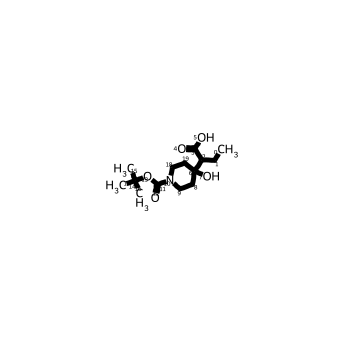 CCC(C(=O)O)C1(O)CCN(C(=O)OC(C)(C)C)CC1